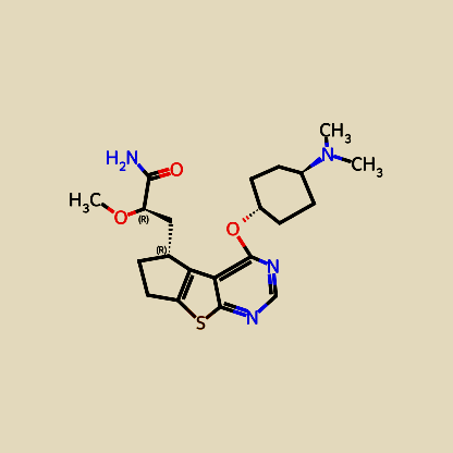 CO[C@H](C[C@H]1CCc2sc3ncnc(O[C@H]4CC[C@H](N(C)C)CC4)c3c21)C(N)=O